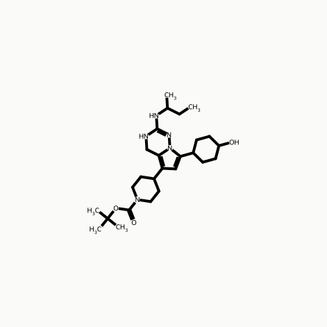 CCC(C)NC1=Nn2c(C3CCC(O)CC3)cc(C3CCN(C(=O)OC(C)(C)C)CC3)c2CN1